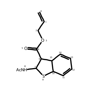 C=CCOC(=O)C1C(NC(C)=O)SC2C=CC=CC21